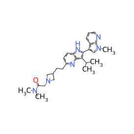 CC(C)c1c(-c2cn(C)c3ncccc23)[nH]c2ccc(CCC3CN(CC(=O)N(C)C)C3)nc12